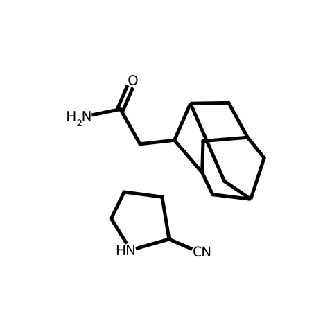 N#CC1CCCN1.NC(=O)CC1C2CC3CC(C2)CC1C3